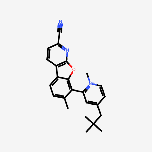 Cc1ccc2c(oc3nc(C#N)ccc32)c1-c1cc(CC(C)(C)C)cc[n+]1C